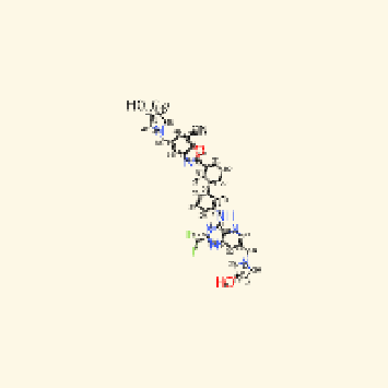 Cc1c(Nc2nc(C(F)F)nc3cc(CN4CC[C@@H](O)C4)cnc23)cccc1-c1cccc(-c2nc3cc(CN4CCC(C)(C(=O)O)C4)cc(C#N)c3o2)c1C